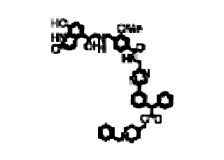 COc1cc(C(=O)NCc2cnc(-c3cccc(C(C(=O)OCC4CCN(Cc5ccccc5)CC4)c4ccccc4)c3)cn2)ccc1CNCC(O)c1ccc(O)c2[nH]c(=O)ccc12